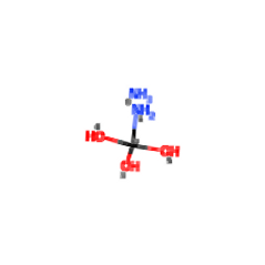 N.NC(O)(O)O